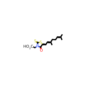 CC(C)=CCC/C(C)=C/C=C1\SC(=S)N(CC(=O)O)C1=O